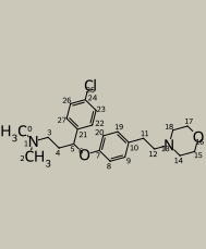 CN(C)CCC(Oc1ccc(CCN2CCOCC2)cc1)c1ccc(Cl)cc1